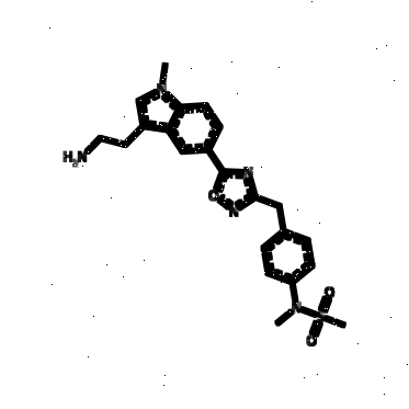 CN(c1ccc(Cc2noc(-c3ccc4c(c3)c(CCN)cn4C)n2)cc1)S(C)(=O)=O